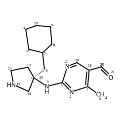 Cc1nc(N[C@]2(CC3CCCCC3)CCNC2)ncc1C=O